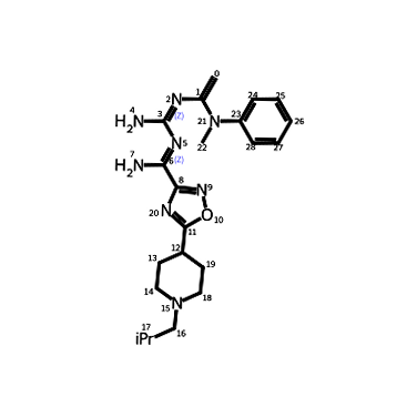 C=C(/N=C(N)\N=C(/N)c1noc(C2CCN(CC(C)C)CC2)n1)N(C)c1ccccc1